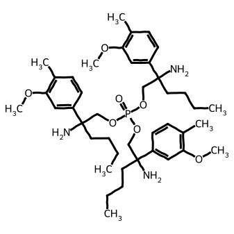 CCCCC(N)(COP(=O)(OCC(N)(CCCC)c1ccc(C)c(OC)c1)OCC(N)(CCCC)c1ccc(C)c(OC)c1)c1ccc(C)c(OC)c1